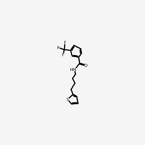 O=C(NCCCCc1cccs1)c1cccc(C(F)(F)F)c1